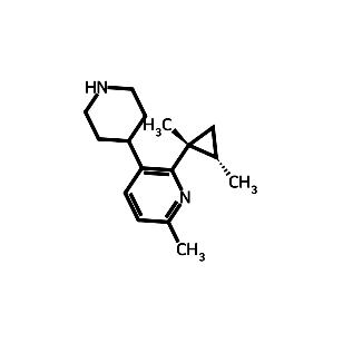 Cc1ccc(C2CCNCC2)c([C@]2(C)C[C@@H]2C)n1